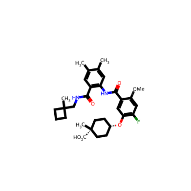 COc1cc(F)c(O[C@H]2CC[C@@](C)(C(=O)O)CC2)cc1C(=O)Nc1cc(C)c(C)cc1C(=O)NCC1(C)CCC1